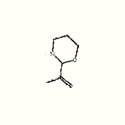 C=C(C)C1NCCCO1